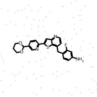 Nc1ccc(Cc2ccnc3cc(-c4ccc(C5OCCCO5)cn4)sc23)c(F)c1